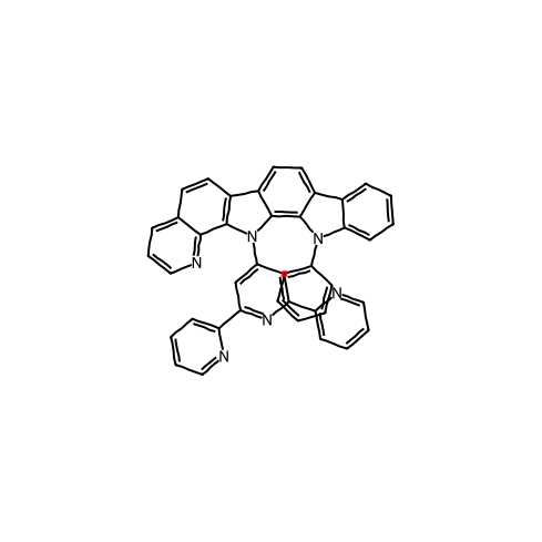 c1ccc(-n2c3ccccc3c3ccc4c5ccc6cccnc6c5n(-c5cc(-c6ccccn6)nc(-c6ccccn6)c5)c4c32)cc1